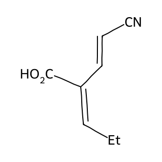 CCC=C(C=CC#N)C(=O)O